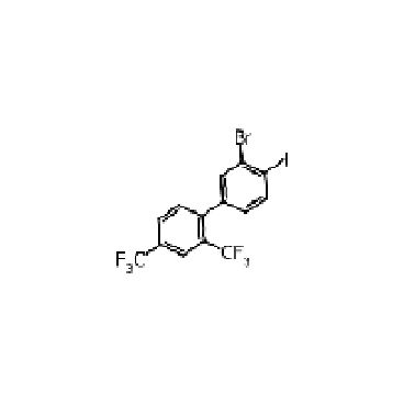 FC(F)(F)c1ccc(-c2ccc(I)c(Br)c2)c(C(F)(F)F)c1